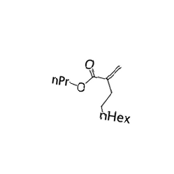 C=C(CCCCCCCC)C(=O)OCCC